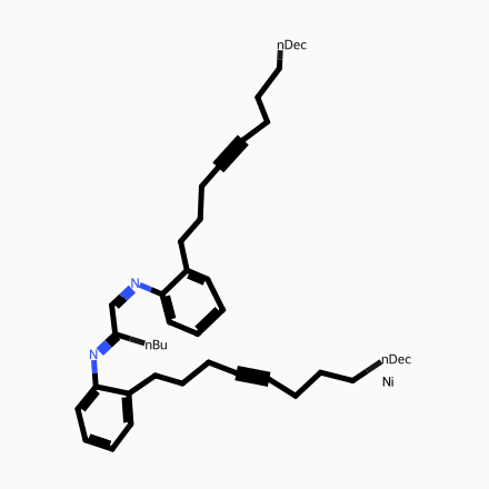 CCCCCCCCCCCCCC#CCCCc1ccccc1/N=C\C(CCCC)=N\c1ccccc1CCCC#CCCCCCCCCCCCCC.[Ni]